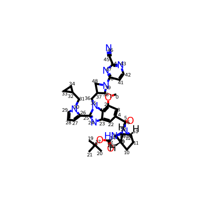 COc1cc(C(=O)N2C[C@H]3CC[C@@H]2[C@@H]3NC(=O)OC(C)(C)C)cc2nc(-c3cccn3CC3CC3)n(CC3CN(c4ccnc(C#N)n4)C3)c12